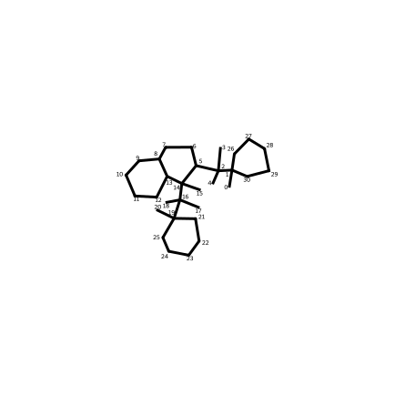 CC1(C(C)(C)C2CCC3CCCCC3C2(C)C(C)(C)C2(C)CCCCC2)CCCCC1